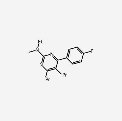 CCN(C)c1nc(-c2ccc(F)cc2)c(C(C)C)c(C(C)C)n1